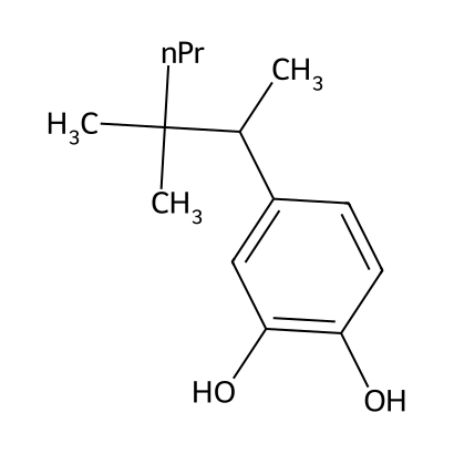 CCCC(C)(C)C(C)c1ccc(O)c(O)c1